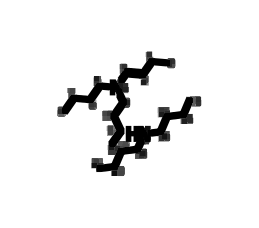 CC/C=C/N(CCCC)CCCC.CCCCNCCCC